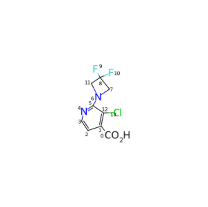 O=C(O)c1ccnc(N2CC(F)(F)C2)c1Cl